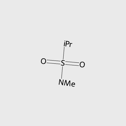 [CH2]NS(=O)(=O)C(C)C